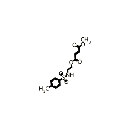 COC(=O)/C=C/C(=O)OCCNS(=O)(=O)c1ccc(C)cc1